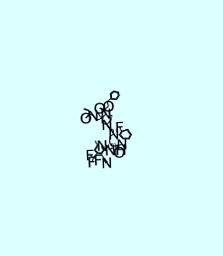 C=CC(=O)N1CC2(CN(CCN3CC[C@H](Nc4nc(C)cc(C(F)(F)F)c4C#N)C(=O)N(C)c4cccc(F)c43)CCN2C(=O)OCc2ccccc2)C1